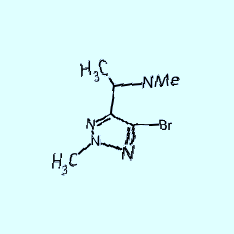 CNC(C)c1nn(C)nc1Br